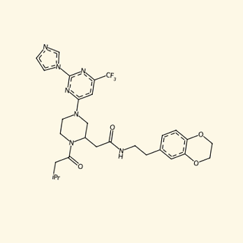 CC(C)CC(=O)N1CCN(c2cc(C(F)(F)F)nc(-n3ccnc3)n2)CC1CC(=O)NCCc1ccc2c(c1)OCCO2